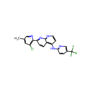 Cc1cnc(-c2ccc3c(Nc4ccc(C(F)(F)F)cn4)ccnc3n2)c(Cl)c1